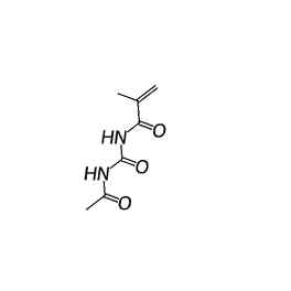 C=C(C)C(=O)NC(=O)NC(C)=O